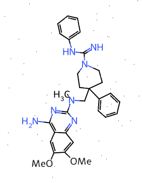 COc1cc2nc(N(C)CC3(c4ccccc4)CCN(C(=N)Nc4ccccc4)CC3)nc(N)c2cc1OC